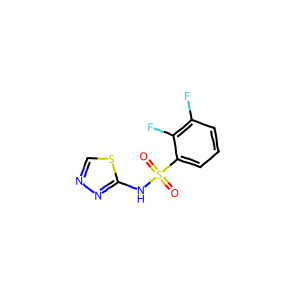 O=S(=O)(Nc1nncs1)c1cccc(F)c1F